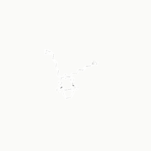 CC(C)CCCCCCC1OC(=O)C2CCCCC2C(=O)OC(CCCCCCC(C)C)O1